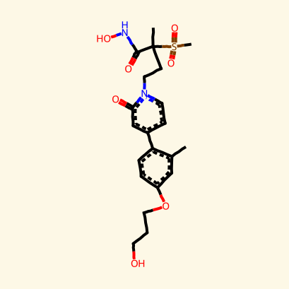 Cc1cc(OCCCO)ccc1-c1ccn(CCC(C)(C(=O)NO)S(C)(=O)=O)c(=O)c1